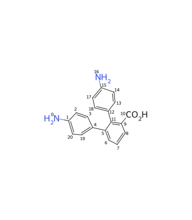 Nc1ccc(-c2cccc(C(=O)O)c2-c2ccc(N)cc2)cc1